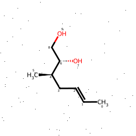 CC=CC[C@@H](C)[C@@H](O)CO